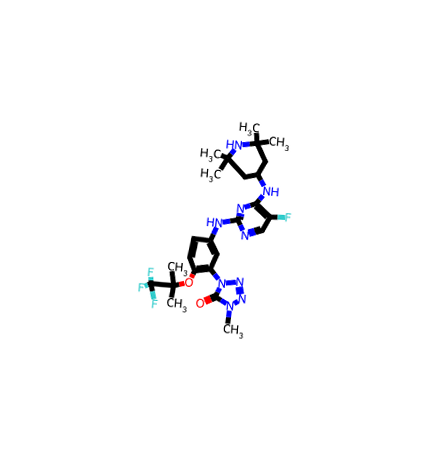 Cn1nnn(-c2cc(Nc3ncc(F)c(NC4CC(C)(C)NC(C)(C)C4)n3)ccc2OC(C)(C)C(F)(F)F)c1=O